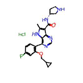 Cc1[nH]c2c(-c3ccc(F)cc3OCC3CC3)ncnc2c1C(=O)N[C@@H]1CCNC1.Cl